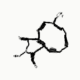 Cc1cccccc2c(cc1)C(=O)N(C(C)(C)C)C2=O